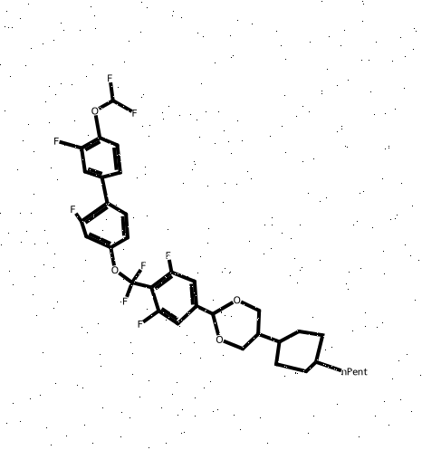 CCCCCC1CCC(C2COC(c3cc(F)c(C(F)(F)Oc4ccc(-c5ccc(OC(F)F)c(F)c5)c(F)c4)c(F)c3)OC2)CC1